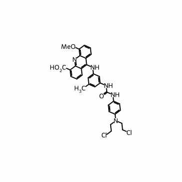 COc1cccc2c(Nc3cc(C)cc(NC(=O)Nc4ccc(N(CCCl)CCCl)cc4)c3)c3cccc(C(=O)O)c3nc12